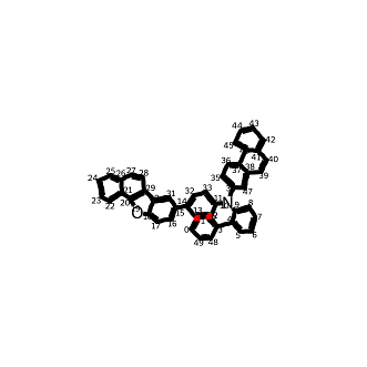 c1ccc(-c2ccccc2N(c2ccc(-c3ccc4oc5c6ccccc6ccc5c4c3)cc2)c2ccc3c(ccc4ccccc43)c2)cc1